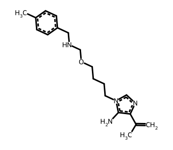 C=C(C)c1ncn(CCCCOCNCc2ccc(C)cc2)c1N